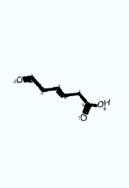 O=CC/C=C/CC(=O)O